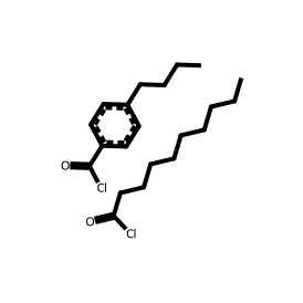 CCCCCCCCCC(=O)Cl.CCCCc1ccc(C(=O)Cl)cc1